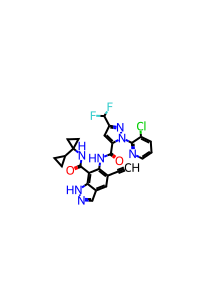 C#Cc1cc2cn[nH]c2c(C(=O)NC2(C3CC3)CC2)c1NC(=O)c1cc(C(F)F)nn1-c1ncccc1Cl